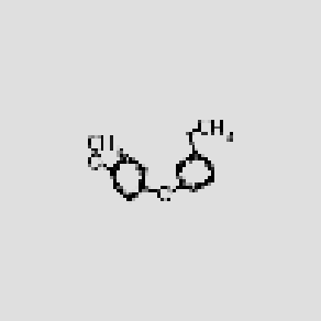 CCc1cccc(Oc2ccc(OC)cc2)c1